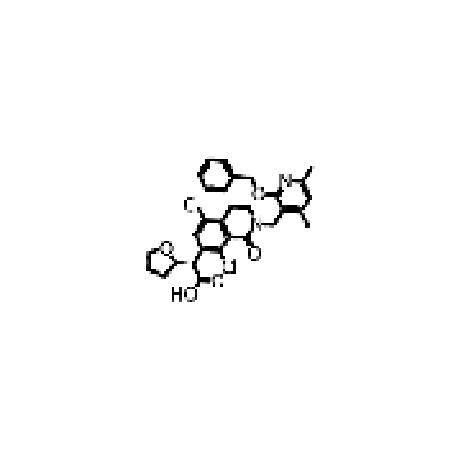 Cc1cc(C)c(CN2CCc3c(Cl)cc([C@@H](C(=O)O)C4CCCO4)c(Cl)c3C2=O)c(OCc2ccccc2)n1